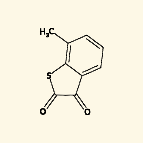 Cc1cccc2c1SC(=O)C2=O